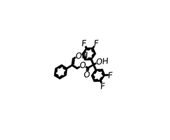 O=C(OCC(=CO)c1ccccc1)C(O)(c1ccc(F)c(F)c1)c1ccc(F)c(F)c1